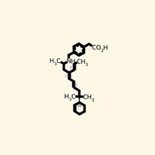 C/C=C/C(=C\C=C\CC(C)(C)[C@@H]1C=CCCC1)CC(C)NCc1ccc(CC(=O)O)cc1